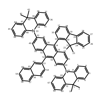 CC1(C)c2ccccc2N(c2ccc3c(-c4cccc5c4C(C)(C)c4ccccc4-5)c4cc(N5c6ccccc6C(C)(C)c6ccccc65)ccc4c(-c4ccc5ccccc5c4)c3c2)c2ccccc21